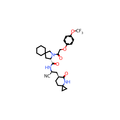 N#C[C@H](C[C@@H]1CCC2(CC2)NC1=O)NC(=O)[C@@H]1CC2(CCCCC2)CN1C(=O)COc1ccc(OC(F)(F)F)cc1